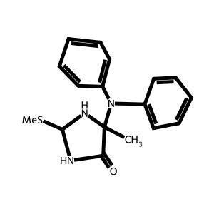 CSC1NC(=O)C(C)(N(c2ccccc2)c2ccccc2)N1